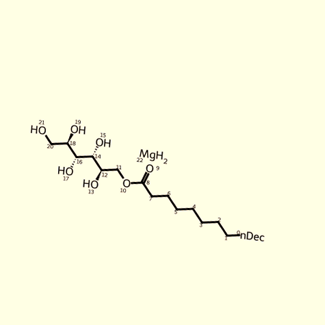 CCCCCCCCCCCCCCCCCC(=O)OC[C@@H](O)[C@@H](O)[C@H](O)[C@H](O)CO.[MgH2]